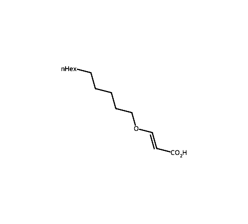 [CH2]CCCCCCCCCCOC=CC(=O)O